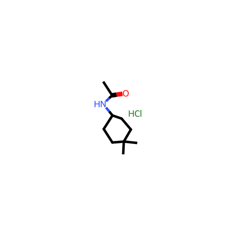 CC(=O)NC1CCC(C)(C)CC1.Cl